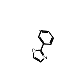 [c]1cccc(-c2ncco2)c1